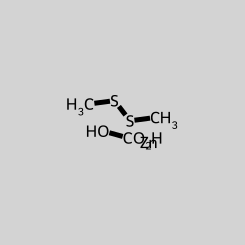 CSSC.O=C(O)O.[Zn]